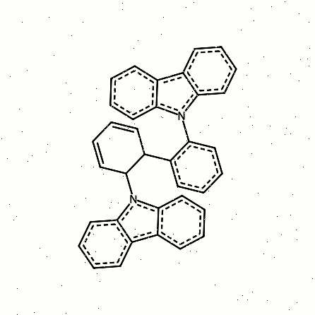 C1=CC(c2ccccc2-n2c3ccccc3c3ccccc32)C(n2c3ccccc3c3ccccc32)C=C1